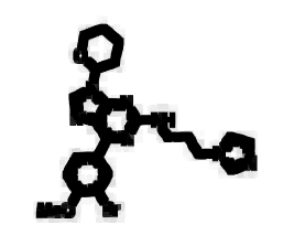 COc1ccc(-c2nc(NCCCn3ccnc3)nc3c2ncn3C2CCCCO2)cc1Br